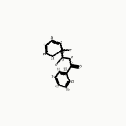 C=C(CC(C)C1(C)C=CC=CC1)c1ccccc1